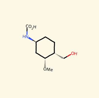 CO[C@@H]1C[C@@H](NC(=O)O)CC[C@@H]1CO